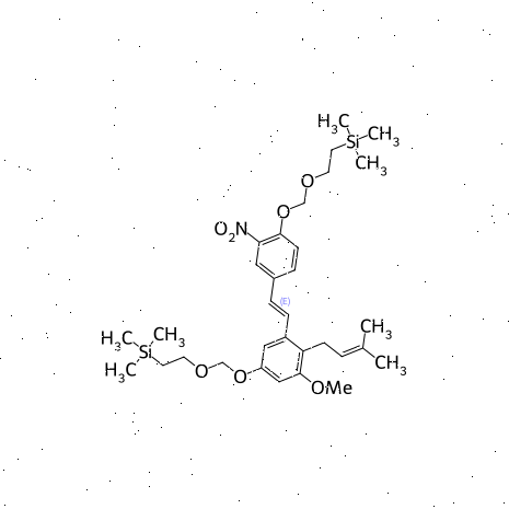 COc1cc(OCOCC[Si](C)(C)C)cc(/C=C/c2ccc(OCOCC[Si](C)(C)C)c([N+](=O)[O-])c2)c1CC=C(C)C